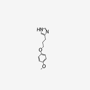 COc1ccc(OCCCc2c[nH]cn2)cc1